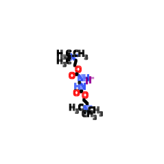 C[N+](C)(C)CCOC(=O)NCNC(=O)OCC[N+](C)(C)C.[I-].[I-]